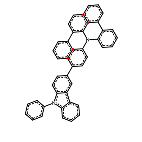 c1ccc(-c2ccccc2N(c2ccc(-c3ccc4c(c3)c3ccccc3n4-c3ccccc3)cc2)c2ccccc2-c2ccccc2)cc1